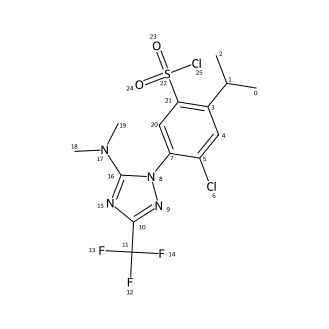 CC(C)c1cc(Cl)c(-n2nc(C(F)(F)F)nc2N(C)C)cc1S(=O)(=O)Cl